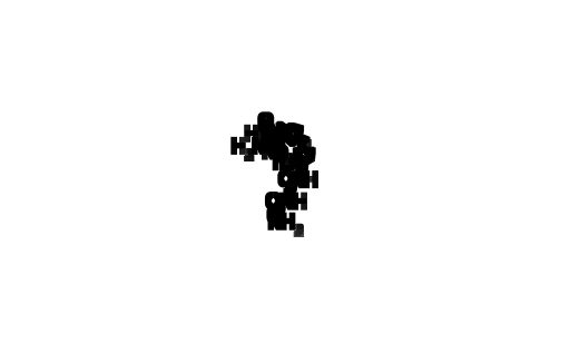 CCCCOc1nc(N)c2[nH]c(=O)n(Cc3ccc(CN4CCC(CCNC(=O)C=CNC(=O)CON)CC4)cc3)c2n1